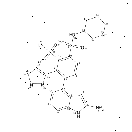 Nc1nc2c(-c3ccc(S(=O)(=O)NC4CCCNC4)c(S(N)(=O)=O)c3-c3nn[nH]n3)cccc2[nH]1